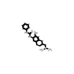 CN(C)CC1CCc2cc(NC(=O)Nc3ccccc3)c(O)cc2C1